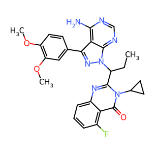 CCC(c1nc2cccc(F)c2c(=O)n1C1CC1)n1nc(-c2ccc(OC)c(OC)c2)c2c(N)ncnc21